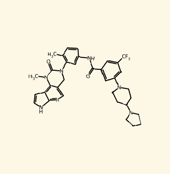 Cc1ccc(NC(=O)c2cc(N3CCC(N4CCCC4)CC3)cc(C(F)(F)F)c2)cc1N1Cc2cnc3[nH]ccc3c2N(C)C1=O